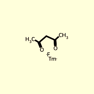 CC(=O)CC(C)=O.[F].[Tm]